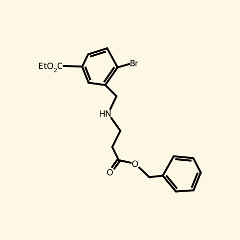 CCOC(=O)c1ccc(Br)c(CNCCC(=O)OCc2ccccc2)c1